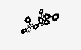 c1ccc(C2=NC(c3ccccc3)NC(c3cccc(-c4ccc(N(c5ccccc5)c5ccc(-c6ccccc6)cc5)c5c4oc4ccccc45)c3)=N2)cc1